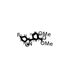 COC(=O)c1cc(C2=NOC3CC(F)CC23)ccc1OC